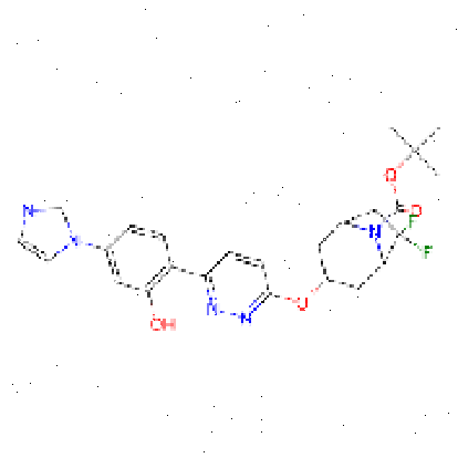 CC(C)(C)OC(=O)N1C2C[C@@H](Oc3ccc(-c4ccc(-n5ccnc5)cc4O)nn3)CC1C(F)(F)C2